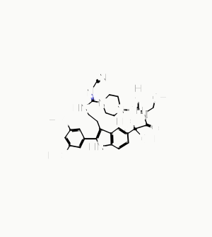 CCN(CC)C(=O)C(C)(C)c1ccc2[nH]c(-c3cc(C)cc(C)c3)c(CCN/C(=N/C#N)N3CCN(C)CC3)c2c1